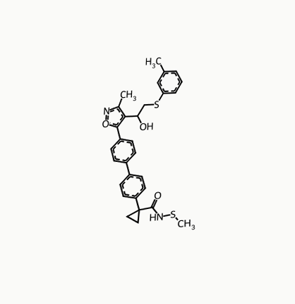 CSNC(=O)C1(c2ccc(-c3ccc(-c4onc(C)c4C(O)CSc4cccc(C)c4)cc3)cc2)CC1